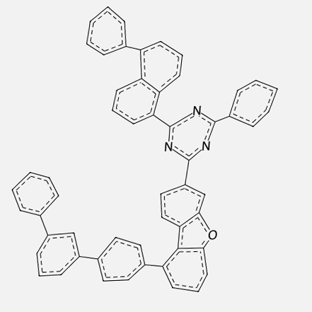 c1ccc(-c2cccc(-c3ccc(-c4cccc5oc6cc(-c7nc(-c8ccccc8)nc(-c8cccc9c(-c%10ccccc%10)cccc89)n7)ccc6c45)cc3)c2)cc1